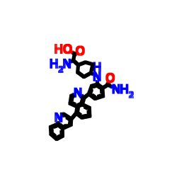 NC(=O)c1ccc(-c2nccc3c(-c4cnc5ccccc5c4)cccc23)cc1NC1CCC(C(N)C(=O)O)CC1